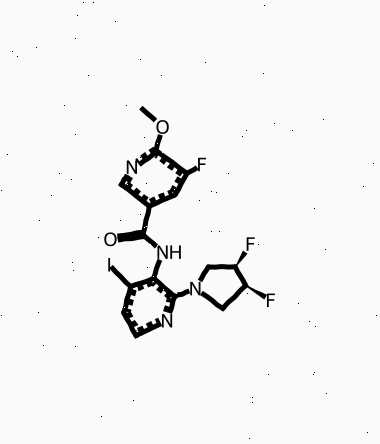 COc1ncc(C(=O)Nc2c(I)ccnc2N2C[C@@H](F)[C@@H](F)C2)cc1F